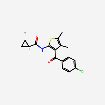 Cc1sc(NC(=O)[C@@]2(C)C[C@@H]2C)c(C(=O)c2ccc(Cl)cc2)c1C